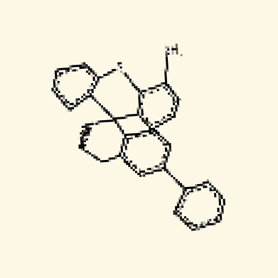 Bc1cccc2c1Sc1ccccc1C21c2ccccc2Cc2cc(-c3ccccc3)ccc21